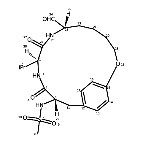 CC(C)[C@@H]1NC(=O)[C@@H](NS(C)(=O)=O)Cc2ccc(cc2)OCCCC[C@@H](C=O)NC1=O